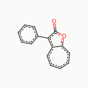 O=c1oc2cccccc-2c1-c1ccccc1